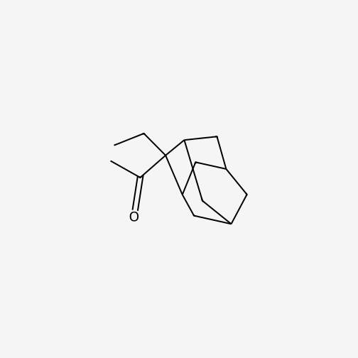 CCC1(C(C)=O)C2CC3CC(C2)CC1C3